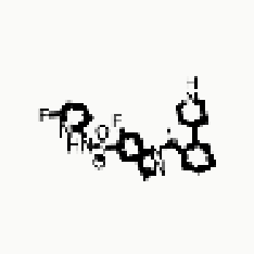 C[C@H](c1ccccc1C1=CCNCC1)n1ncc2cc(S(=O)(=O)Nc3cccc(F)n3)c(F)cc21